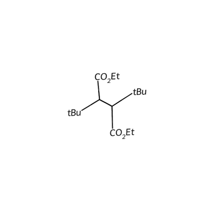 CCOC(=O)C(C(C(=O)OCC)C(C)(C)C)C(C)(C)C